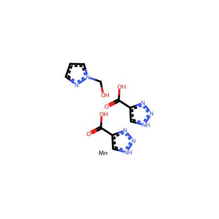 O=C(O)c1c[nH]nn1.O=C(O)c1c[nH]nn1.OCn1cccn1.[Mn]